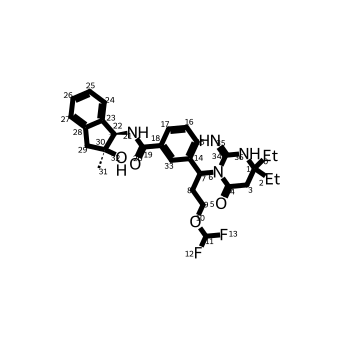 CCC1(CC)CC(=O)N(C(CCOC(F)F)c2cccc(C(=O)N[C@@H]3c4ccccc4C[C@]3(C)O)c2)C(=N)N1